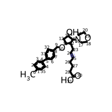 Cc1ccc(-c2ccc(COC3CC(O)C(N4CCOCC4)C3C/C=C/CCCC(=O)O)cc2)cc1